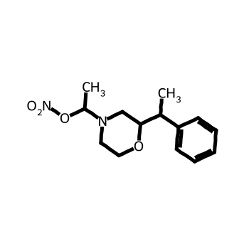 CC(c1ccccc1)C1CN(C(C)O[N+](=O)[O-])CCO1